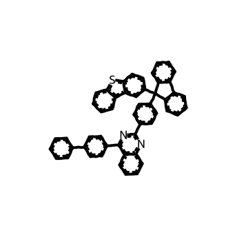 c1ccc(-c2ccc(-c3nc(-c4ccc(C5(c6ccc7sc8ccccc8c7c6)c6ccccc6-c6ccccc65)cc4)nc4ccccc34)cc2)cc1